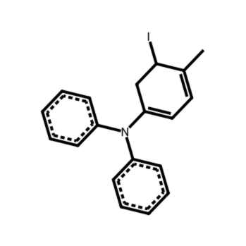 CC1=CC=C(N(c2ccccc2)c2ccccc2)CC1I